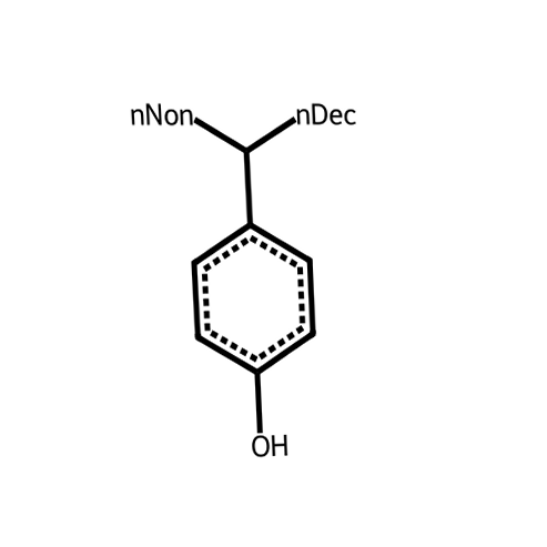 CCCCCCCCCCC(CCCCCCCCC)c1ccc(O)cc1